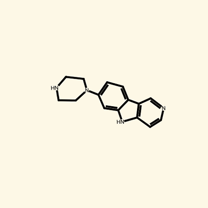 c1cc2[nH]c3cc(N4CCNCC4)ccc3c2cn1